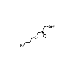 O=C(CS)COCCCBr